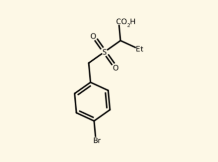 CCC(C(=O)O)S(=O)(=O)Cc1ccc(Br)cc1